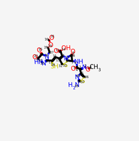 CON=C(C(=O)NC1C(=O)N2C(C(=O)O)=C(C=C(S)c3n[nH]c(=O)c(=O)n3CCOC=O)CSC12)c1csc(N)n1